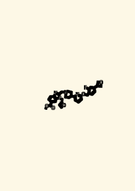 COC(=O)c1ccc2nc(CN3CCC(c4cccc(OCc5ccc(C6COC6)cc5F)n4)CC3)n(C[C@@H]3CCO3)c2c1